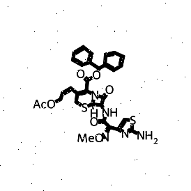 CO/N=C(\C(=O)NC1C(=O)N2C(C(=O)OC(c3ccccc3)c3ccccc3)=C(/C=C\COC(C)=O)CS[C@H]12)c1csc(N)n1